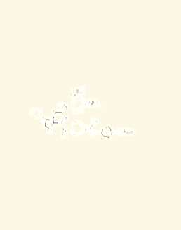 COc1ccc(OC(=O)N2CCC(Nc3nc(N[C@H]4CC[C@H](N)CC4)nc4c3ncn4C3CCCC3)CC2)cc1.Cl.Cl